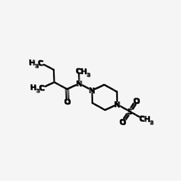 CCC(C)C(=O)N(C)N1CCN(S(C)(=O)=O)CC1